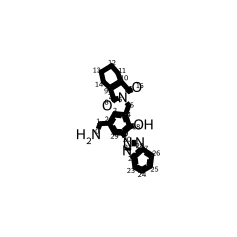 NCc1cc(CN2C(=O)C3=C(CCCC3)C2=O)c(O)c(-n2nc3ccccc3n2)c1